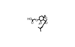 COC1C(OCC(=O)O)CCC2(CO2)C1C1(C)OC1CC=C(C)C